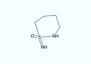 N=S1(=O)CCCCN1